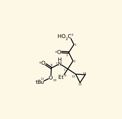 CCC(CC(=O)CC(=O)O)(NC(=O)OC(C)(C)C)C1CC1